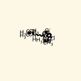 C[C@H](CCCCNC(=O)OC(C)(C)C)Nc1c([N+](=O)[O-])ccc(Cl)c1C(=O)N(C)C